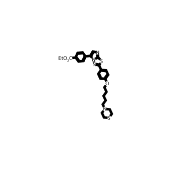 CCOC(=O)c1ccc(-c2cnc3sc(-c4ccc(OCCCCCN5CCSCC5)cc4)nn23)cc1